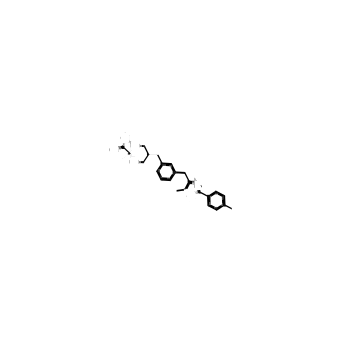 COC(=O)[C@]1(C)OC[C@@H](Cc2cccc(Cc3nc(-c4ccc(C)cc4)oc3C)c2)CO1